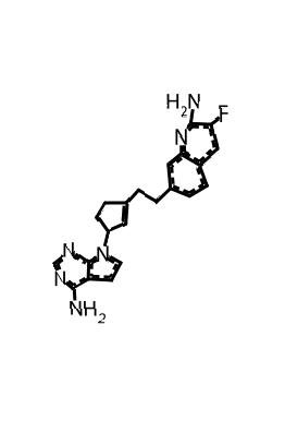 Nc1nc2cc(CCC3=CC(n4ccc5c(N)ncnc54)CC3)ccc2cc1F